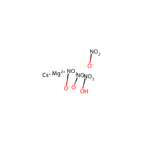 O=[N+]([O-])O.O=[N+]([O-])[O-].O=[N+]([O-])[O-].O=[N+]([O-])[O-].[Cs+].[Mg+2]